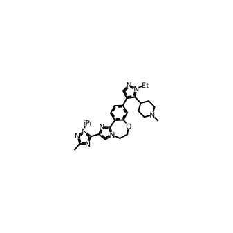 CCn1ncc(-c2ccc3c(c2)OCCn2cc(-c4nc(C)nn4C(C)C)nc2-3)c1C1CCN(C)CC1